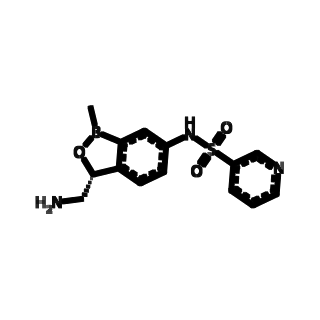 CB1O[C@@H](CN)c2ccc(NS(=O)(=O)c3cccnc3)cc21